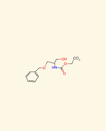 O=C(NC(CO)COCc1ccccc1)OCC(Cl)(Cl)Cl